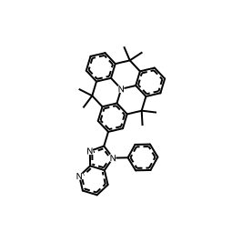 CC1(C)c2cccc3c2N2c4c1cccc4C(C)(C)c1cc(-c4nc5ncccc5n4-c4ccccc4)cc(c12)C3(C)C